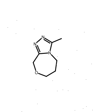 Cc1nnc2n1CCCOC2